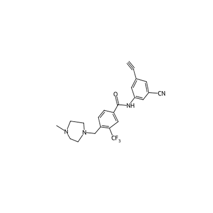 C#Cc1cc(C#N)cc(NC(=O)c2ccc(CN3CCN(C)CC3)c(C(F)(F)F)c2)c1